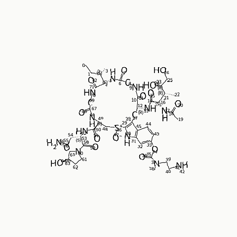 CC[C@H](C)[C@@H]1NC(=O)CNC(=O)[C@H](NC(=O)[C@@H](NC(C)=O)[C@@H](C)[C@@H](O)CO)Cc2c([nH]c3cc(OC(=O)N(C)CCNC)ccc23)[S+]([O-])C[C@@H](C(=O)N[C@@H](CC(N)=O)C(=O)N2CC[C@@H](O)C2)NC(=O)CNC1=O